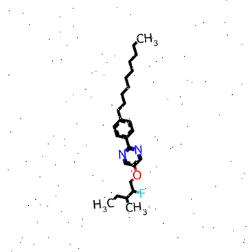 CCCCCCCCCCc1ccc(-c2ncc(OCC(F)C(C)CC)cn2)cc1